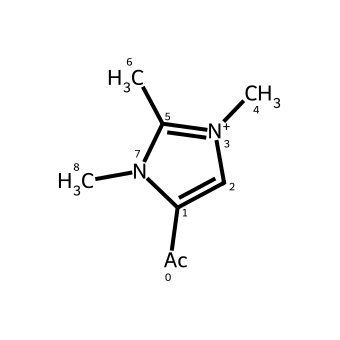 CC(=O)c1c[n+](C)c(C)n1C